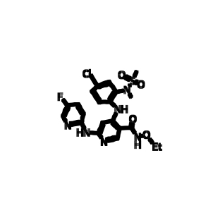 CCONC(=O)c1cnc(Nc2ccc(F)cn2)cc1Nc1ccc(Cl)cc1N(C)S(C)(=O)=O